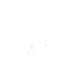 NC(=O)[C@@H](Cc1c[nH]c2ccccc12)NCCCS(=O)(=O)O